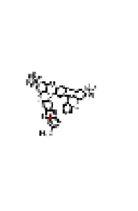 Cc1cc2c3c(c1)Oc1cc4c(cc1B3c1ccccc1O2)B1c2cc3c(cc2Oc2cc(S(F)(F)(F)(F)F)cc(c21)O4)Oc1cc(S(F)(F)(F)(F)F)cc2c1B3c1ccccc1O2